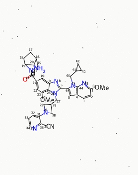 COc1ccc2cc(-c3nc4cc(C(=O)N5CC6CCC5[C@@H]6N)cc(OC)c4n3CC3CN(c4cccnc4C#N)C3)n(CC3CC3)c2n1